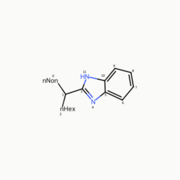 CCCCCCCCCC(CCCCCC)c1nc2ccccc2[nH]1